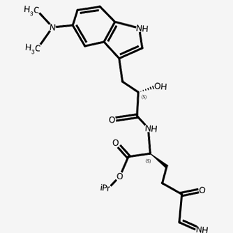 CC(C)OC(=O)[C@H](CCC(=O)C=N)NC(=O)[C@@H](O)Cc1c[nH]c2ccc(N(C)C)cc12